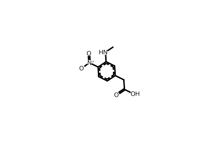 CNc1cc(CC(=O)O)ccc1[N+](=O)[O-]